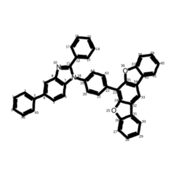 c1ccc(-c2ccc3c(c2)nc(-c2ccccc2)n3-c2ccc(-c3c4oc5ccccc5c4cc4c3oc3ccccc34)cc2)cc1